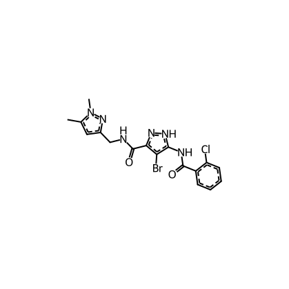 Cc1cc(CNC(=O)c2n[nH]c(NC(=O)c3ccccc3Cl)c2Br)nn1C